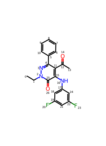 CCn1nc(-c2ccccc2)c(C(C)=O)c(Nc2cc(F)cc(F)c2)c1=O